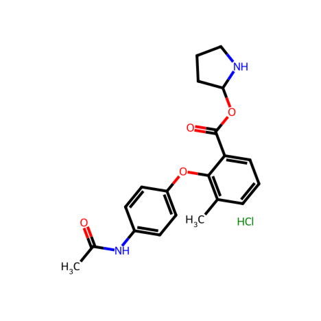 CC(=O)Nc1ccc(Oc2c(C)cccc2C(=O)OC2CCCN2)cc1.Cl